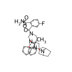 Cc1nc2ccccc2n1C1CC2CCC(C1)N2CCC1(c2ccccc2)CCN(C(=O)c2cc(F)ccc2S(N)(=O)=O)CC1